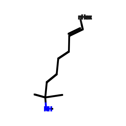 CCCCCCC=CCCCCC(C)(C)[NH]